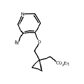 CCOC(=O)CC1(COc2ccncc2Br)CC1